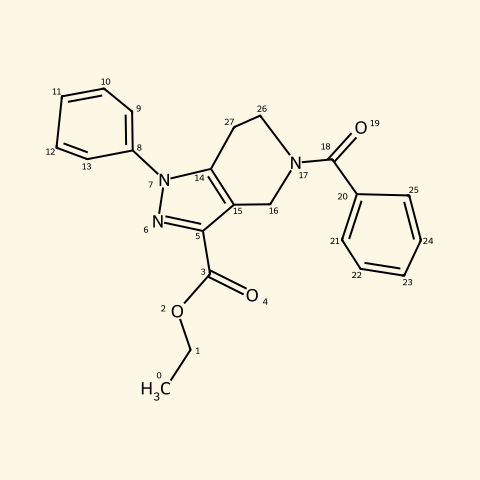 CCOC(=O)c1nn(-c2ccccc2)c2c1CN(C(=O)c1ccccc1)CC2